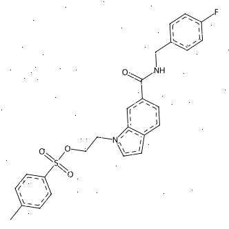 Cc1ccc(S(=O)(=O)OCCn2ccc3ccc(C(=O)NCc4ccc(F)cc4)cc32)cc1